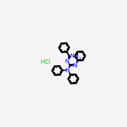 Cl.NC(=NC(=Nc1ccccc1)N(c1ccccc1)c1ccccc1)c1ccccc1